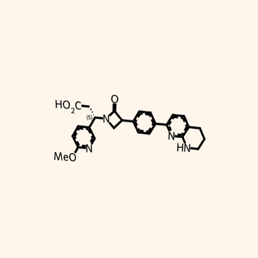 COc1ccc([C@H](CC(=O)O)N2CC(c3ccc(-c4ccc5c(n4)NCCC5)cc3)C2=O)cn1